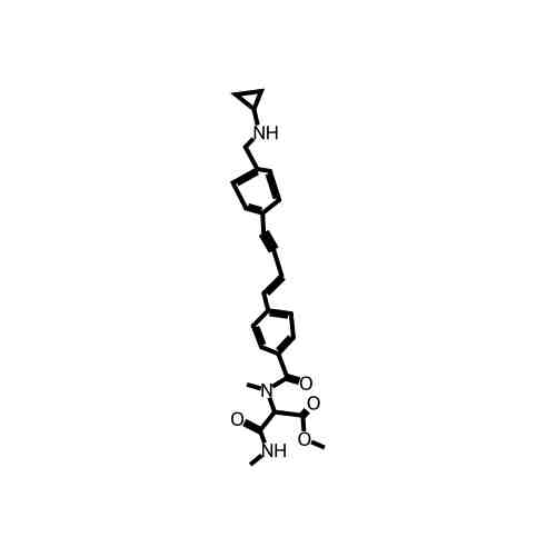 CNC(=O)C(C(=O)OC)N(C)C(=O)c1ccc(C=CC#Cc2ccc(CNC3CC3)cc2)cc1